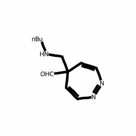 CCCCNCC1(C=O)C=CN=NC=C1